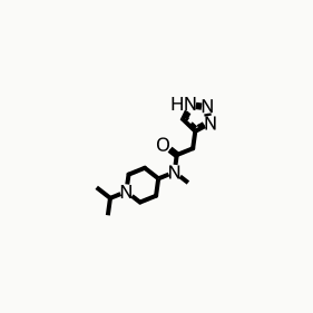 CC(C)N1CCC(N(C)C(=O)Cc2c[nH]nn2)CC1